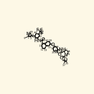 Cc1cn(-c2cc(NC(=O)c3cccc4cc(Oc5ccnc(NC(=O)C6CCCN6C(=O)OC(C)(C)C)c5)ccc34)cc(C(F)(F)F)c2)cn1